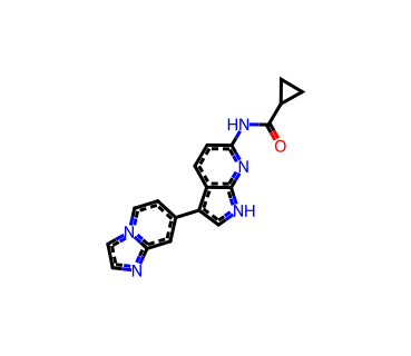 O=C(Nc1ccc2c(-c3ccn4ccnc4c3)c[nH]c2n1)C1CC1